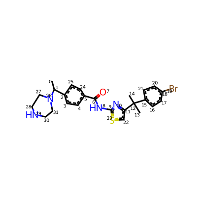 CC(c1ccc(C(=O)Nc2nc(C(C)(C)c3ccc(Br)cc3)cs2)cc1)N1CCNCC1